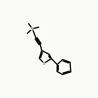 C[Si](C)(C)C#Cc1csc(-c2ccccc2)c1